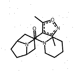 Cc1noc(C)c1C1CC2CCC(C1)N2C(=O)N1CCCCC1